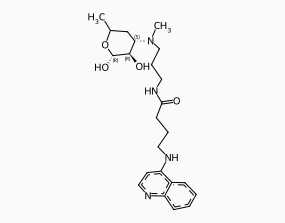 CC1C[C@H](N(C)CCCNC(=O)CCCNc2ccnc3ccccc23)[C@@H](O)[C@H](O)O1